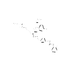 COC(=O)C[C@H](NC(=O)[C@H](CCCCNC(=O)OC)NC(=O)Cc1ccc(NC(=O)Nc2ccccc2C)cc1)c1ccc(I)cc1